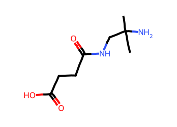 CC(C)(N)CNC(=O)CCC(=O)O